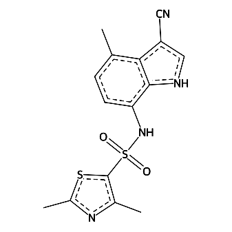 Cc1nc(C)c(S(=O)(=O)Nc2ccc(C)c3c(C#N)c[nH]c23)s1